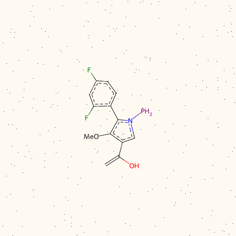 C=C(O)c1cn(P)c(-c2ccc(F)cc2F)c1OC